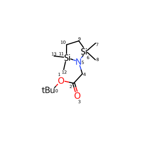 CC(C)(C)OC(=O)CN1[Si](C)(C)CC[Si]1(C)C